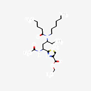 CCCCCCN(C(=O)CCCC)C(CC(NC(C)=O)c1nc(C(=O)OCC)cs1)C(C)C